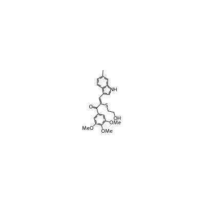 COc1cc(C(=O)C(=Cc2c[nH]c3cc(C)ccc23)SCCO)cc(OC)c1OC